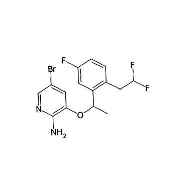 CC(Oc1cc(Br)cnc1N)c1cc(F)ccc1CC(F)F